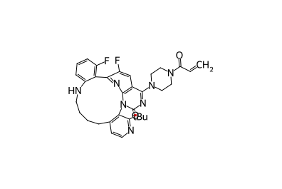 C=CC(=O)N1CCN(c2nc(=O)n3c4nc(c(F)cc24)-c2c(F)cccc2NCCCCc2ccnc(C(C)(C)C)c2-3)CC1